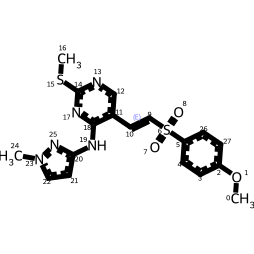 COc1ccc(S(=O)(=O)/C=C/c2cnc(SC)nc2Nc2ccn(C)n2)cc1